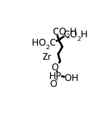 O=C(O)C(CCCO[PH](=O)O)(C(=O)O)C(=O)O.[Zr]